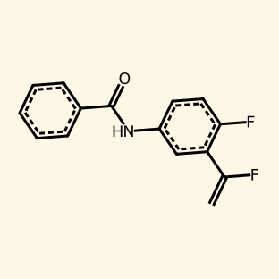 C=C(F)c1cc(NC(=O)c2ccccc2)ccc1F